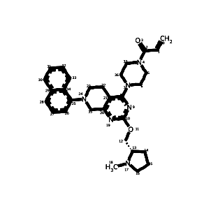 C=CC(=O)N1CCN(c2nc(OC[C@@H]3CCCN3C)nc3c2CCN(c2cccc4ccccc24)C3)CC1